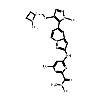 Cc1cc(Nc2cc3cc(-c4c(OC[C@H]5CCN5C)cnn4C)ccn3n2)nc(C(=O)N(C)C)n1